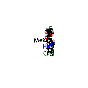 COc1cc2c(Nc3cc(Cl)c(Cl)cc3F)ncnc2cc1O[C@@H]1CO[C@@H]2C1OC[C@H]2F